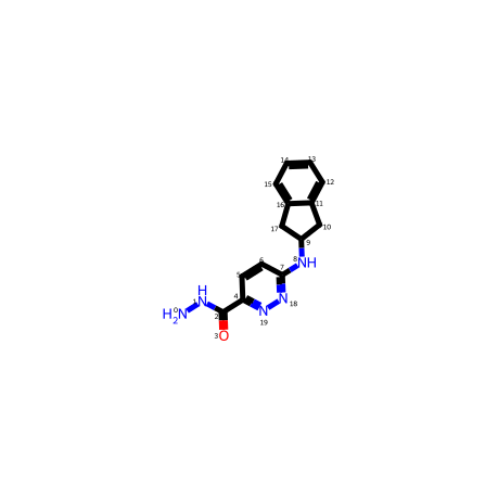 NNC(=O)c1ccc(NC2Cc3ccccc3C2)nn1